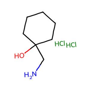 Cl.Cl.NCC1(O)CCCCC1